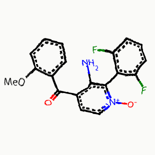 COc1ccccc1C(=O)c1cc[n+]([O-])c(-c2c(F)cccc2F)c1N